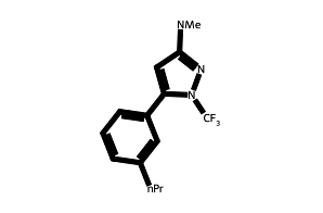 CCCc1cccc(-c2cc(NC)nn2C(F)(F)F)c1